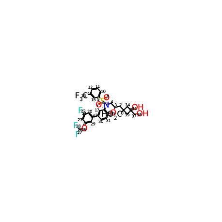 O=C(O)C1(CC2CN(S(=O)(=O)c3cccc(C(F)(F)F)c3)c3cc(-c4cc(F)cc(OC(F)F)c4)ccc3O2)CC(O)(CO)C1